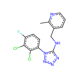 Cc1ncccc1CNc1nnnn1-c1ccc(F)c(Cl)c1Cl